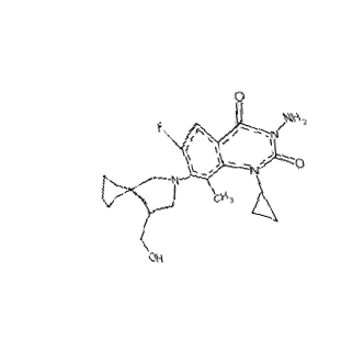 Cc1c(N2CC(CO)C3(CC3)C2)c(F)cc2c(=O)n(N)c(=O)n(C3CC3)c12